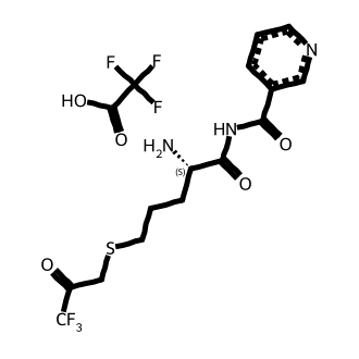 N[C@@H](CCCSCC(=O)C(F)(F)F)C(=O)NC(=O)c1cccnc1.O=C(O)C(F)(F)F